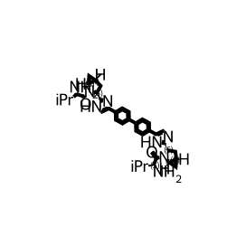 CC(C)C(N)C(=O)N1[C@@H]2C[C@@H]2C[C@H]1c1nc(-c2ccc(-c3ccc(-c4cnc([C@@H]5C[C@@H]6C[C@H]6N5C(=O)[C@@H](N)C(C)C)[nH]4)cc3)cc2)c[nH]1